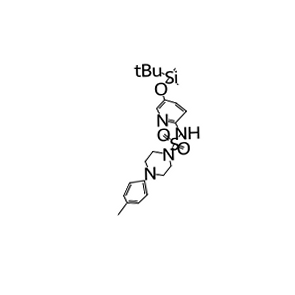 Cc1ccc(N2CCN(S(=O)(=O)Nc3ccc(O[Si](C)(C)C(C)(C)C)cn3)CC2)cc1